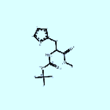 COC(=O)[C@H](Cc1cccs1)NC(=O)OC(C)(C)C